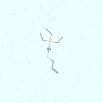 C=CC[S][Au][PH](CC)(CC)CC